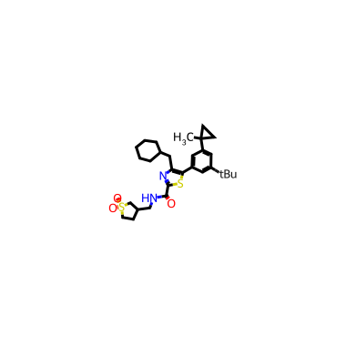 CC(C)(C)c1cc(-c2sc(C(=O)NCC3CCS(=O)(=O)C3)nc2CC2CCCCC2)cc(C2(C)CC2)c1